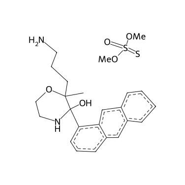 CC1(CCCN)OCCNC1(O)c1cccc2cc3ccccc3cc12.COS(=O)(=S)OC